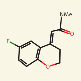 CNC(=O)C=C1CCOc2ccc(F)cc21